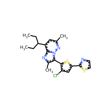 CCC(CC)c1cc(C)nn2c(-c3sc(-c4nccs4)cc3Cl)c(C)nc12